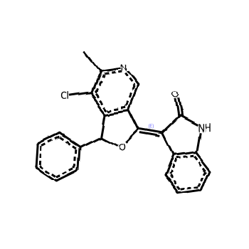 Cc1ncc2c(c1Cl)C(c1ccccc1)O/C2=C1/C(=O)Nc2ccccc21